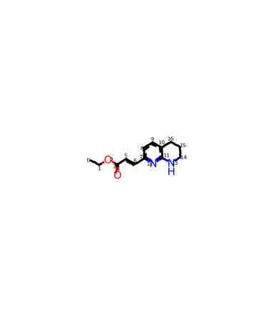 CCOC(=O)C=Cc1ccc2c(n1)NCCC2